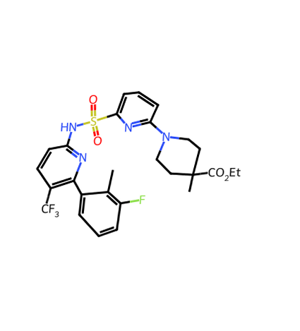 CCOC(=O)C1(C)CCN(c2cccc(S(=O)(=O)Nc3ccc(C(F)(F)F)c(-c4cccc(F)c4C)n3)n2)CC1